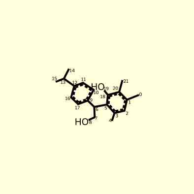 Cc1cc(C)c(C(CO)c2ccc(C(C)C)cc2)c(O)c1C